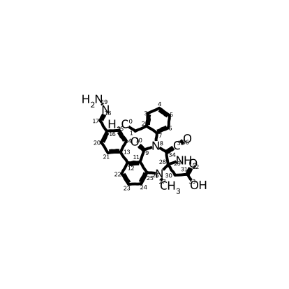 CCc1ccccc1N1C(=O)c2c(-c3ccc(C=NN)cc3)cccc2N(C)C(N)(CC(=O)O)C1=C=O